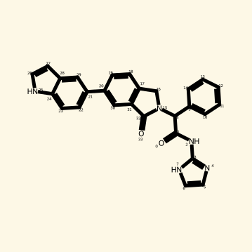 O=C(Nc1ncc[nH]1)C(c1ccccc1)N1Cc2ccc(-c3ccc4[nH]ccc4c3)cc2C1=O